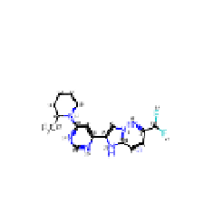 N=C(/C=C\c1ncc(-c2cc(N3CCCCC3C(F)(F)F)ncn2)[nH]1)C(F)F